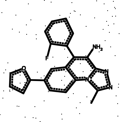 Cc1nnc2c(N)c(-c3ccccc3F)c3cc(-c4ccco4)ccc3n12